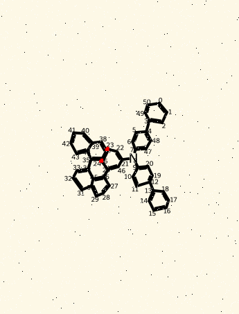 c1ccc(-c2ccc(N(c3ccc(-c4ccccc4)cc3)c3cccc(-c4cccc5cccc(-c6cccc7ccccc67)c45)c3)cc2)cc1